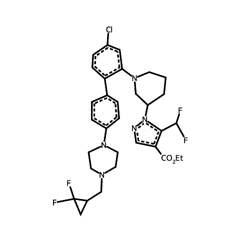 CCOC(=O)c1cnn(C2CCCN(c3cc(Cl)ccc3-c3ccc(N4CCN(CC5CC5(F)F)CC4)cc3)C2)c1C(F)F